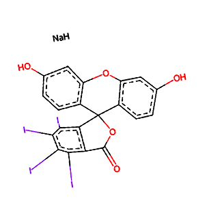 O=C1OC2(c3ccc(O)cc3Oc3cc(O)ccc32)c2c(I)c(I)c(I)c(I)c21.[NaH]